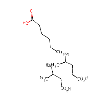 CC(C)C(C)CCC(=O)O.CCC(C)C(C)CC(=O)O.CCCCCC(=O)O